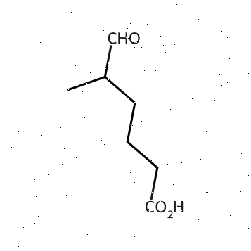 CC(C=O)CCCC(=O)O